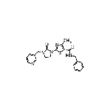 Cc1nc(N2CCN(Cc3cccnc3)C2=O)sc1C(=O)NCc1ccccc1